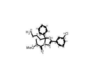 CO[C@@H](C)C(=O)N1N=C(c2cccc(Cl)c2)OC1(CCCN)c1ccccc1